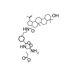 C=C(C)[C@@H]1CC[C@]2(C(=O)NCCc3cccc(C(=O)N[C@@H](CCC(=O)OC)C(N)=O)c3)CC[C@]3(C)C(CCC4[C@@]5(C)CC[C@H](O)C(C)(C)C5CC[C@]43C)C12